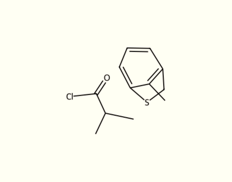 CC(C)C(=O)Cl.Cc1c2cccc1SC2